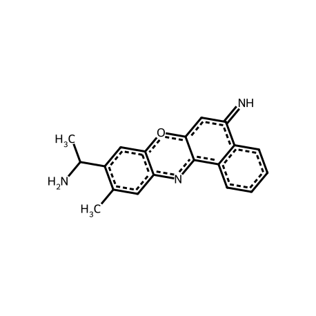 Cc1cc2nc3c4ccccc4c(=N)cc-3oc2cc1C(C)N